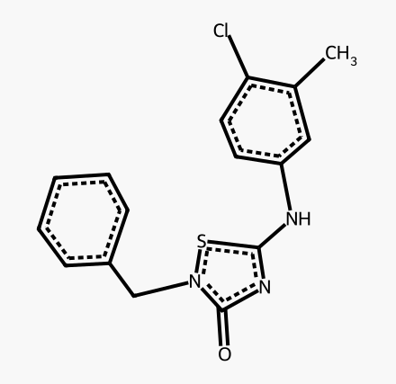 Cc1cc(Nc2nc(=O)n(Cc3ccccc3)s2)ccc1Cl